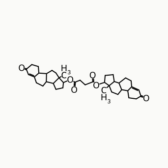 CC12CCC3C4CCC(=O)C=C4CCC3C1CCC2OC(=O)CCC(=O)OC1CCC2C3CCC4=CC(=O)CCC4C3CCC12C